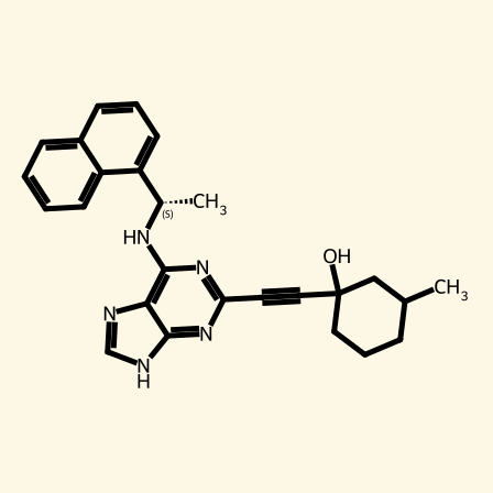 CC1CCCC(O)(C#Cc2nc(N[C@@H](C)c3cccc4ccccc34)c3nc[nH]c3n2)C1